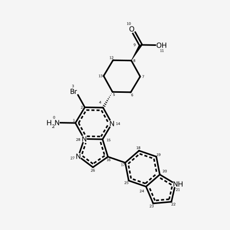 Nc1c(Br)c([C@H]2CC[C@H](C(=O)O)CC2)nc2c(-c3ccc4[nH]ccc4c3)cnn12